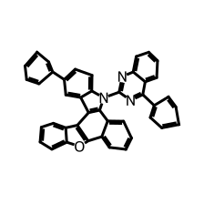 c1ccc(-c2ccc3c(c2)c2c4c5ccccc5oc4c4ccccc4c2n3-c2nc(-c3ccccc3)c3ccccc3n2)cc1